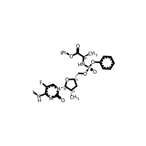 CC(C)OC(=O)[C@@H](C)NP(=O)(OC[C@@H]1C[C@H](C)[C@H](n2cc(F)c(NI)nc2=O)O1)Oc1ccccc1